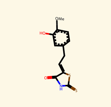 COc1ccc(CC=C2SC(=S)NC2=O)cc1O